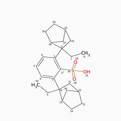 CCC1(c2cccc(C3(CC)CC4CCC3C4)c2S(=O)(=O)O)CC2CCC1C2